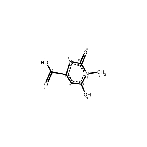 Cn1c(O)cc(C(=O)O)nc1=O